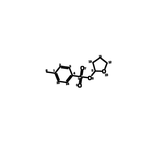 Cc1ccc(S(=O)(=O)OC2CCCO2)cc1